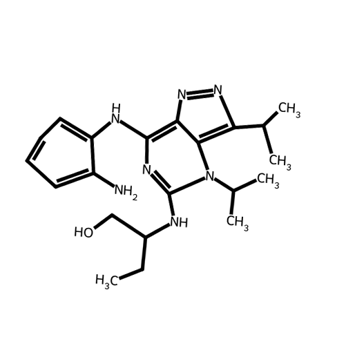 CCC(CO)Nc1nc(Nc2ccccc2N)c2nnc(C(C)C)c-2n1C(C)C